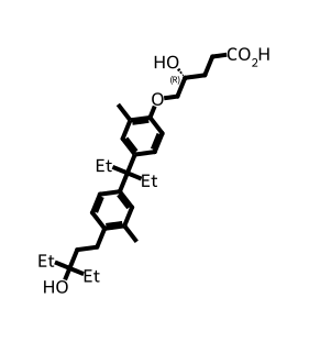 CCC(O)(CC)CCc1ccc(C(CC)(CC)c2ccc(OC[C@H](O)CCC(=O)O)c(C)c2)cc1C